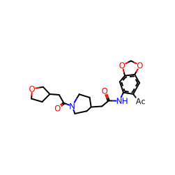 CC(=O)c1cc2c(cc1NC(=O)CC1CCN(C(=O)CC3CCOC3)CC1)OCO2